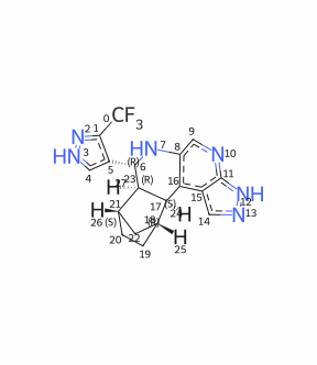 FC(F)(F)c1n[nH]cc1[C@@H]1Nc2cnc3[nH]ncc3c2[C@H]2[C@@H]3CC[C@@H](C3)[C@H]21